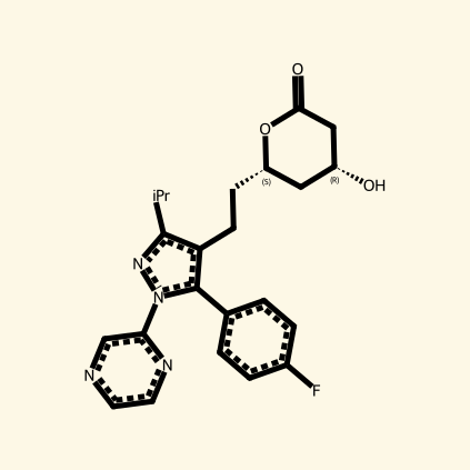 CC(C)c1nn(-c2cnccn2)c(-c2ccc(F)cc2)c1CC[C@H]1C[C@@H](O)CC(=O)O1